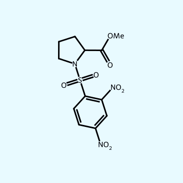 COC(=O)C1CCCN1S(=O)(=O)c1ccc([N+](=O)[O-])cc1[N+](=O)[O-]